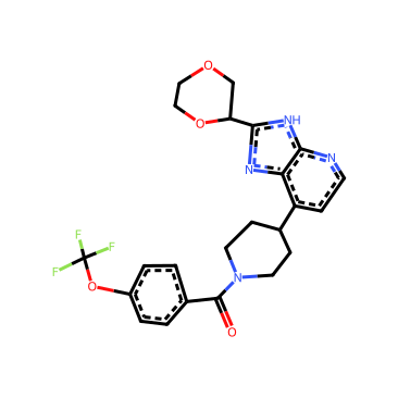 O=C(c1ccc(OC(F)(F)F)cc1)N1CCC(c2ccnc3[nH]c(C4COCCO4)nc23)CC1